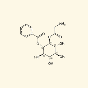 NCC(=O)O[C@H]1[C@H](O)[C@@H](O)[C@H](O)[C@@H](O)[C@@H]1OC(=O)c1ccccc1